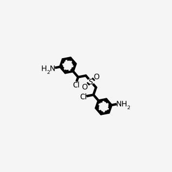 Nc1cccc(C(Cl)CS(=O)(=O)CC(Cl)c2cccc(N)c2)c1